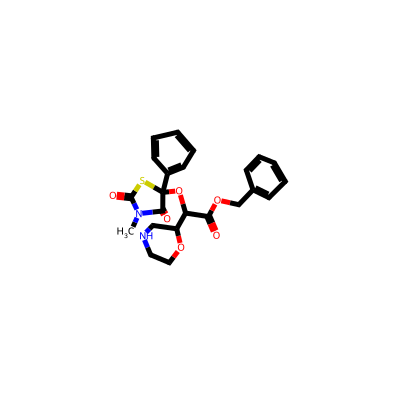 CN1C(=O)SC(OC(C(=O)OCc2ccccc2)C2CNCCO2)(c2ccccc2)C1=O